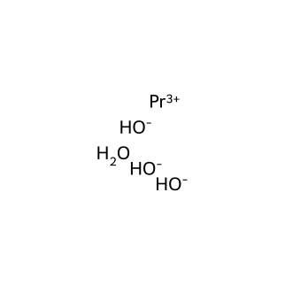 O.[OH-].[OH-].[OH-].[Pr+3]